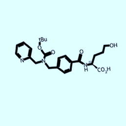 CC(C)(C)OC(=O)N(Cc1ccc(C(=O)N[C@@H](CCCO)C(=O)O)cc1)Cc1ccccn1